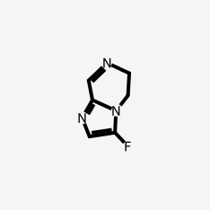 Fc1cnc2n1CCN=C2